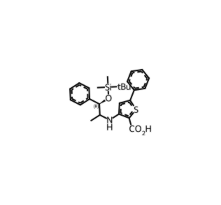 CC(Nc1cc(-c2ccccc2)sc1C(=O)O)[C@H](O[Si](C)(C)C(C)(C)C)c1ccccc1